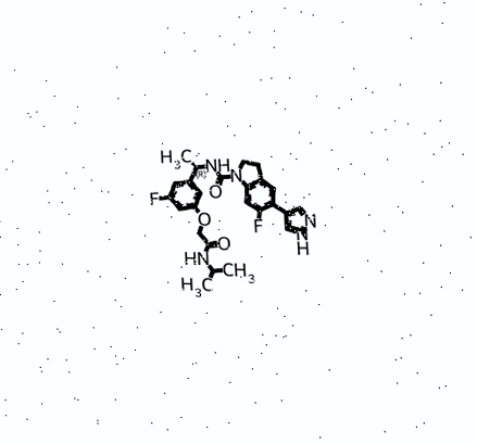 CC(C)NC(=O)COc1cc(F)cc([C@@H](C)NC(=O)N2CCc3cc(-c4cn[nH]c4)c(F)cc32)c1